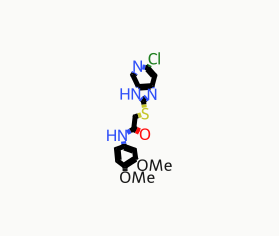 COc1ccc(NC(=O)CSc2nc3cc(Cl)ncc3[nH]2)cc1OC